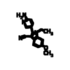 CCn1c(-c2ccc(N)nc2)c(C#N)c2ccc(OC)cc21